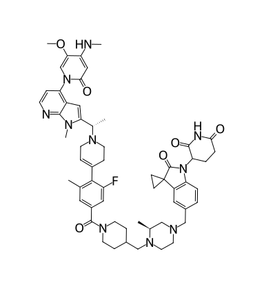 CNc1cc(=O)n(-c2ccnc3c2cc([C@H](C)N2CC=C(c4c(C)cc(C(=O)N5CCC(CN6CCN(Cc7ccc8c(c7)C7(CC7)C(=O)N8C7CCC(=O)NC7=O)C[C@@H]6C)CC5)cc4F)CC2)n3C)cc1OC